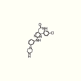 O=C1Cc2cnc(Nc3cccc(N4CCNCC4)c3)nc2-c2ccc(Cl)cc2N1